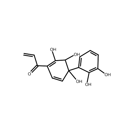 C=CC(=O)C1=C(O)C(O)C(O)(c2cccc(O)c2O)C=C1